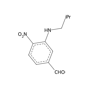 CC(C)CNc1cc([C]=O)ccc1[N+](=O)[O-]